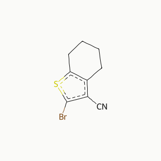 N#Cc1c(Br)sc2c1CCCC2